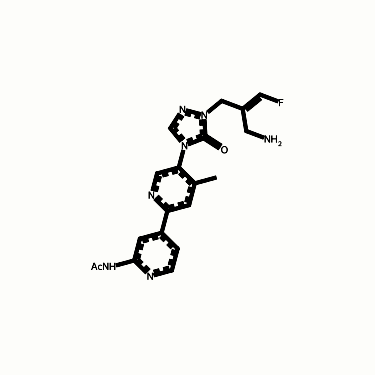 CC(=O)Nc1cc(-c2cc(C)c(-n3cnn(C/C(=C/F)CN)c3=O)cn2)ccn1